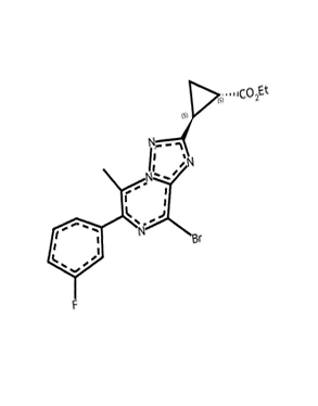 CCOC(=O)[C@H]1C[C@@H]1c1nc2c(Br)nc(-c3cccc(F)c3)c(C)n2n1